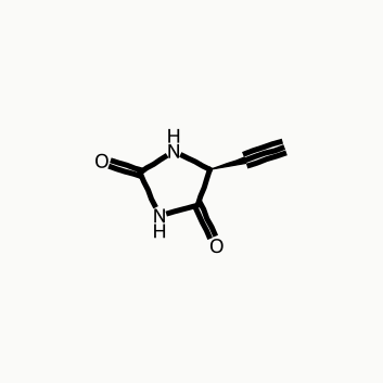 C#C[C@@H]1NC(=O)NC1=O